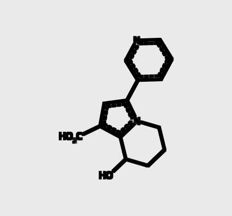 O=C(O)c1cc(-c2cccnc2)n2c1C(O)CCC2